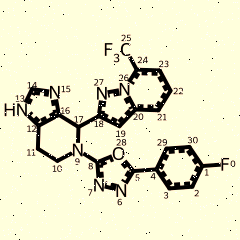 Fc1ccc(-c2nnc(N3CCc4[nH]cnc4C3c3cc4cccc(C(F)(F)F)n4n3)o2)cc1